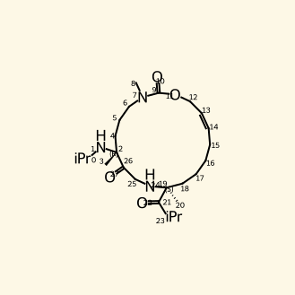 CC(C)N[C@]1(C)CCCN(C)C(=O)OCC=CCCCC[C@@](C)(C(=O)C(C)C)NCC1=O